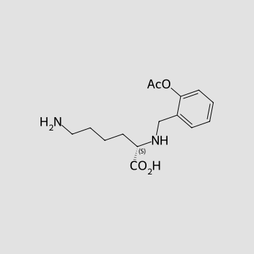 CC(=O)Oc1ccccc1CN[C@@H](CCCCN)C(=O)O